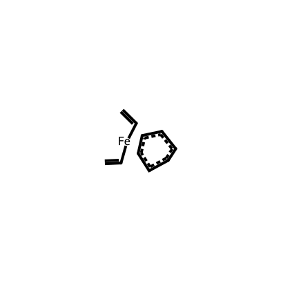 C=[CH][Fe][CH]=C.c1ccccc1